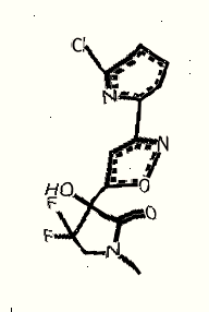 CN1CC(F)(F)C(O)(c2cc(-c3cccc(Cl)n3)no2)C1=O